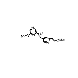 COCCn1cc(CNc2cncc(OC)n2)cn1